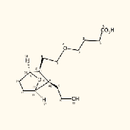 O=C(O)CCCOCC[C@H]1[C@@H](CCO)[C@H]2CC[C@@H]1O2